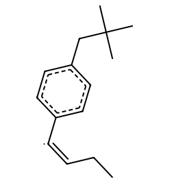 CC/C=[C]\c1ccc(CC(C)(C)C)cc1